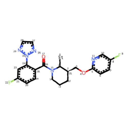 CCC1[C@@H](COc2ccc(F)cn2)CCCN1C(=O)c1ccc(F)cc1-n1nccn1